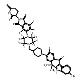 [2H]C1([2H])N(CC2CCN(c3cc4c(cc3CC)C(=O)c3c([nH]c5cc(C#N)ccc35)C4(C)C)CC2)C([2H])([2H])C([2H])([2H])N(c2c(F)c(F)c3c(c2F)C(=O)N(C2CCC(=O)NC2=O)C3=O)C1([2H])[2H]